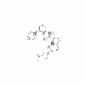 CN(C)[C@@H]1CCN(c2ccc3ncc(C(=O)Nc4cccc(N5CCOCC5)n4)n3n2)C1